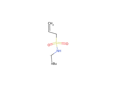 C=CCS(=O)(=O)N[CH]CCCC